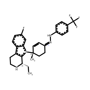 CC[C@@H]1NCCc2c1n([C@]1(C)C=C/C(=N\Nc3ccc(C(F)(F)F)cc3)CC1)c1cc(F)ccc21